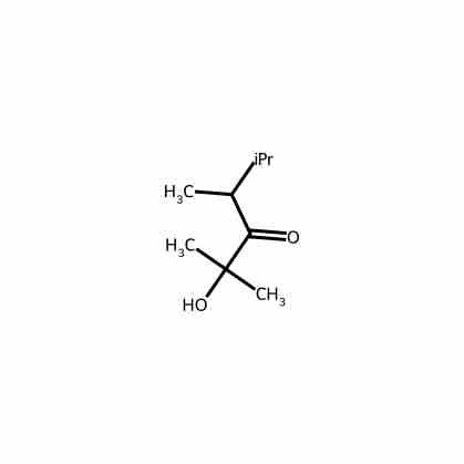 CC(C)C(C)C(=O)C(C)(C)O